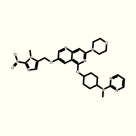 CN(c1ncccn1)C1CCC(Oc2nc(N3CCOCC3)cc3ncc(OCc4cnc([N+](=O)[O-])n4C)cc23)CC1